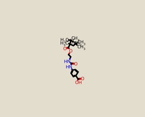 CC(C)(C)CC(C)(C(=O)OCCNC(=O)Nc1ccc(C(=O)O)cc1)C(C)(C)C